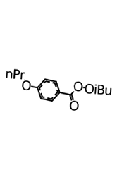 CCCOc1ccc(C(=O)OO[CH]C(C)C)cc1